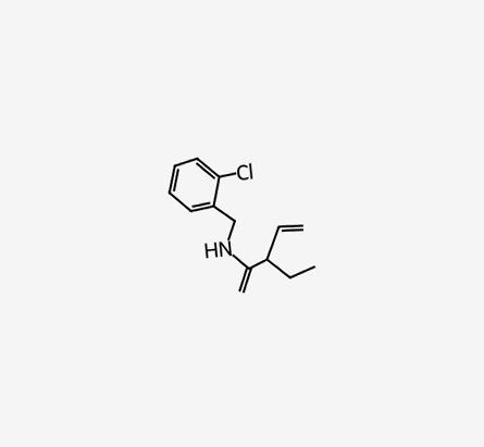 C=CC(CC)C(=C)NCc1ccccc1Cl